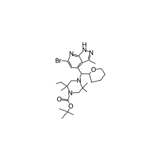 CCC1(C)CN(C(c2cc(Br)nc3[nH]nc(C)c23)C2CCCCO2)C(C)(C)CN1C(=O)OC(C)(C)C